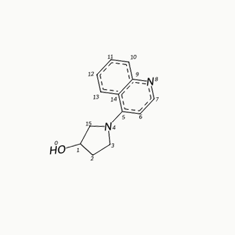 OC1CCN(c2ccnc3ccccc23)C1